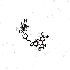 CC(C)c1cc(-c2nnc(O)n2-c2ccc3c(ccn3CCC3CCN(C(=O)C[C@]4(O)[C@@H](O)C[C@@H]5C[C@H]4C5(C)C)CC3)c2)c(O)cc1O